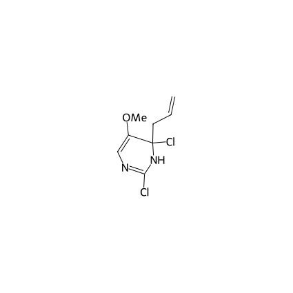 C=CCC1(Cl)NC(Cl)=NC=C1OC